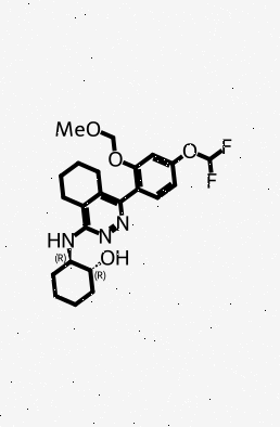 COCOc1cc(OC(F)F)ccc1-c1nnc(N[C@@H]2CCCC[C@H]2O)c2c1CCCC2